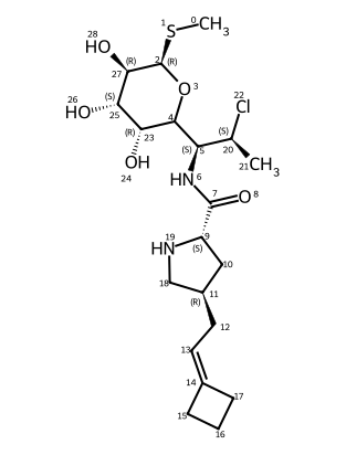 CS[C@H]1OC([C@H](NC(=O)[C@@H]2C[C@@H](CC=C3CCC3)CN2)[C@H](C)Cl)[C@H](O)[C@H](O)[C@H]1O